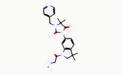 CC(C)NCC(=O)N1CC(C)(C)c2ccc(N3C(=O)N(Cc4ccncc4)C(C)(C)C3=O)cc21